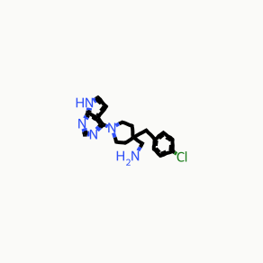 NCC1(Cc2ccc(Cl)cc2)CCN(c2ncnc3[nH]ccc23)CC1